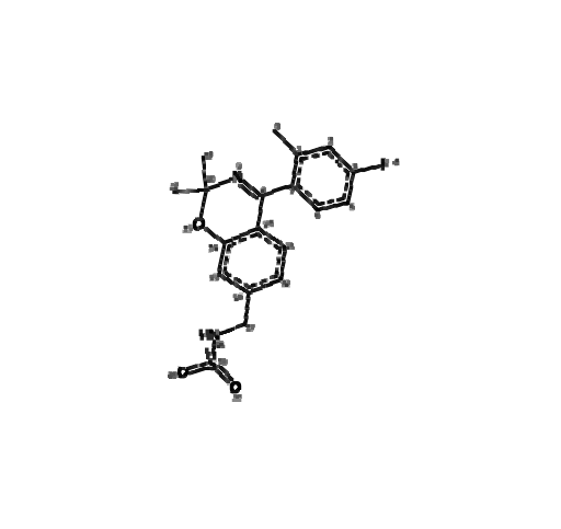 Cc1cc(F)ccc1C1=NC(C)(C)Oc2cc(CN[SH](=O)=O)ccc21